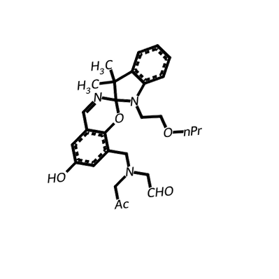 CCCOCCN1c2ccccc2C(C)(C)C12N=Cc1cc(O)cc(CN(CC=O)CC(C)=O)c1O2